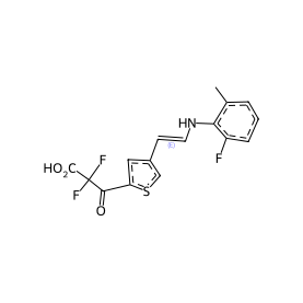 Cc1cccc(F)c1N/C=C/c1csc(C(=O)C(F)(F)C(=O)O)c1